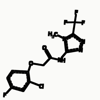 Cn1c(NC(=O)COc2ccc(F)cc2Cl)nnc1C(F)(F)F